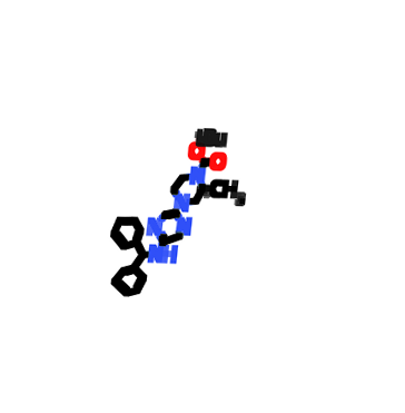 C[C@H]1CN(c2cnc(NC(c3ccccc3)c3ccccc3)cn2)CCN1C(=O)OC(C)(C)C